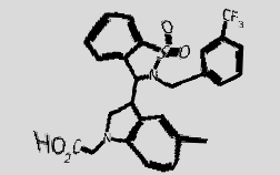 Cc1ccc2c(c1)C(C1c3ccccc3S(=O)(=O)N1Cc1cccc(C(F)(F)F)c1)CN2CC(=O)O